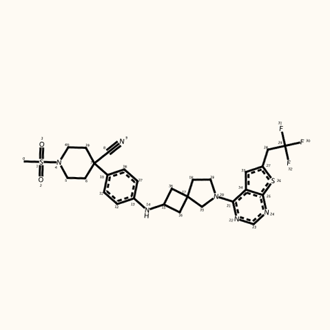 CS(=O)(=O)N1CCC(C#N)(c2ccc(NC3CC4(CCN(c5ncnc6sc(CC(F)(F)F)cc56)C4)C3)cc2)CC1